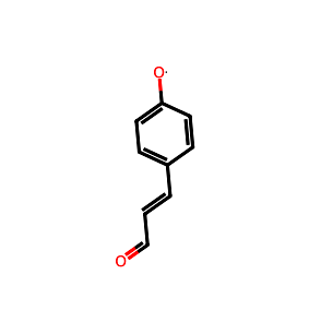 [O]c1ccc(/C=C/C=O)cc1